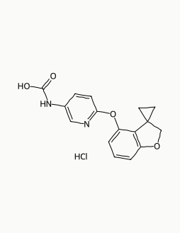 Cl.O=C(O)Nc1ccc(Oc2cccc3c2C2(CC2)CO3)nc1